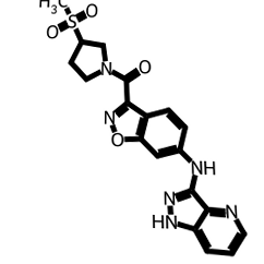 CS(=O)(=O)C1CCN(C(=O)c2noc3cc(Nc4n[nH]c5cccnc45)ccc23)C1